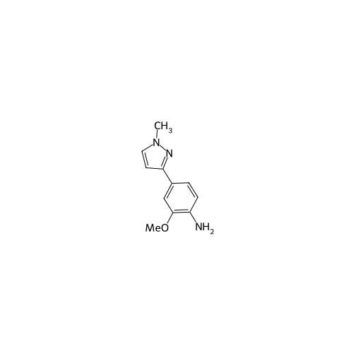 COc1cc(-c2ccn(C)n2)ccc1N